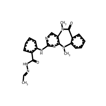 CC=NNC(=O)c1ccccc1Nc1ncc2c(n1)N(C)c1ccccc1C(=O)N2C